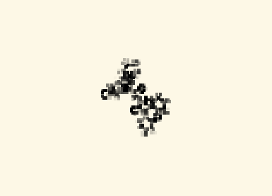 O=C(CNC(=O)C1c2ccccc2Oc2ccccc21)NC1CC2CCC(C1)N2Cc1ccc(Cl)cc1